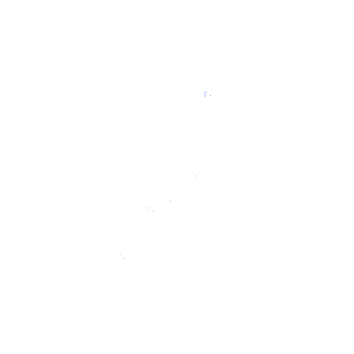 CCN(CC)CCNC(=O)c1ccc2cc(NC(=O)O)ccc2n1